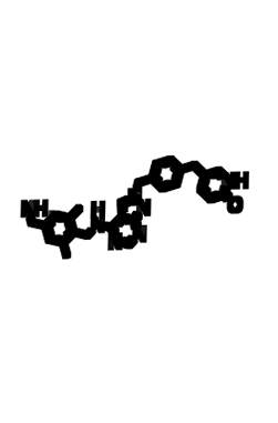 Cc1cc(CN)cc(C)c1CNc1ncnc2nn(Cc3ccc(Cc4ccc(=O)[nH]c4)cc3)cc12